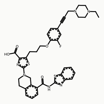 CCN1CCN(CC#Cc2ccc(OCCCc3sc(N4CCc5cccc(C(=O)Nc6nc7ccccc7s6)c5C4)nc3C(=O)O)c(F)c2)CC1